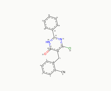 N#Cc1ccccc1Cc1c(Cl)nc(-c2ccccc2)[nH]c1=O